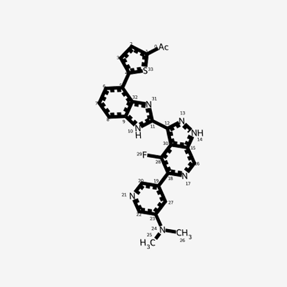 CC(=O)c1ccc(-c2cccc3[nH]c(-c4n[nH]c5cnc(-c6cncc(N(C)C)c6)c(F)c45)nc23)s1